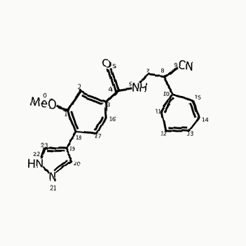 COc1cc(C(=O)NCC(C#N)c2ccccc2)ccc1-c1cn[nH]c1